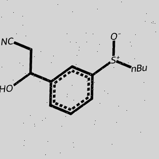 CCCC[S+]([O-])c1cccc(C(O)CC#N)c1